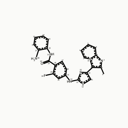 Cc1nc2ccccn2c1-c1csc(Nc2ccc(C(=O)Nc3ccccc3N)c(F)c2)n1